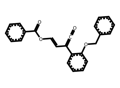 O=C=C(/C=C/OC(=O)c1ccccc1)c1ccccc1OCc1ccccc1